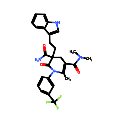 CC1=C(C(=O)N(C)C)CC(CCc2c[nH]c3ccccc23)(C(N)=O)C(=O)N1c1cccc(C(F)(F)F)c1